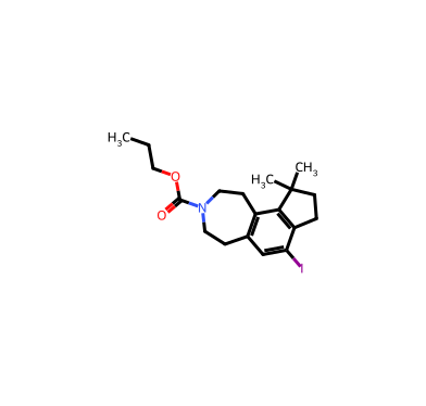 CCCOC(=O)N1CCc2cc(I)c3c(c2CC1)C(C)(C)CC3